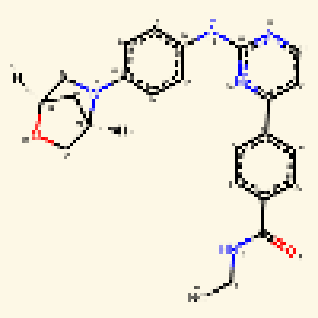 N#CCNC(=O)c1ccc(-c2ccnc(Nc3ccc(N4C[C@H]5C[C@@H]4CO5)cc3)n2)cc1